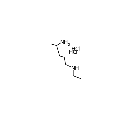 CCNCCCC(C)N.Cl.Cl